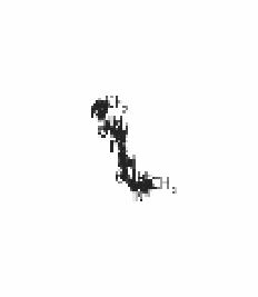 CC(F)(F)c1cncc(CNC(=O)c2cn(CCC(F)Cn3cc(C(=O)NCc4cc(C(F)(F)F)ccn4)nn3)nn2)c1